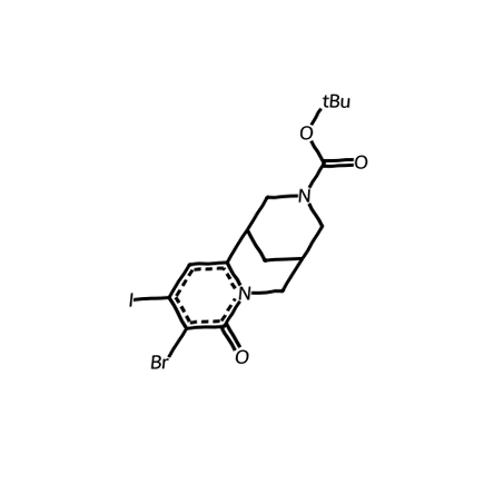 CC(C)(C)OC(=O)N1CC2CC(C1)c1cc(I)c(Br)c(=O)n1C2